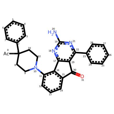 CC(=O)C1(c2ccccc2)CCN(c2cccc3c2-c2nc(N)nc(-c4ccccc4)c2C3=O)CC1